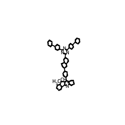 CC1(C)c2ccccc2-c2nc3ccccc3c(-c3ccc(-c4ccc5cc(-c6nc(-c7ccc(-c8ccccc8)cc7)nc(-c7ccc(-c8ccccc8)cc7)n6)ccc5c4)cc3)c21